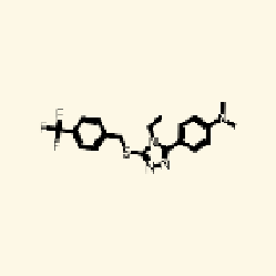 CCn1c(SCc2ccc(C(F)(F)F)cc2)nnc1-c1ccc(N(C)C)cc1